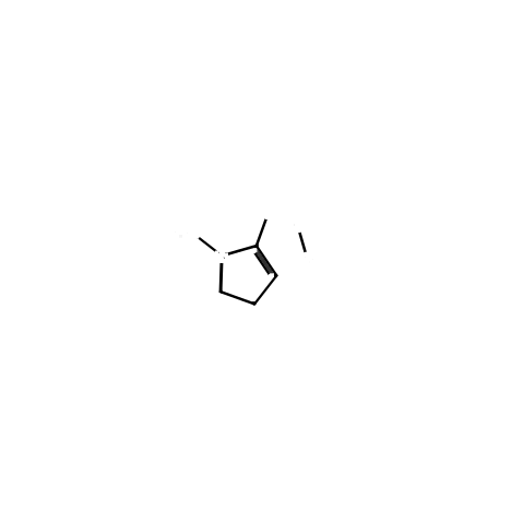 CCCCN1CCC=C1CC.CS(=O)(=O)O